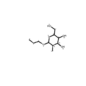 CCCOC1OC(CO)C(O)C(O)C1C